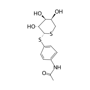 CC(=O)Nc1ccc(S[C@H]2SC[C@H](O)[C@H](O)[C@H]2O)cc1